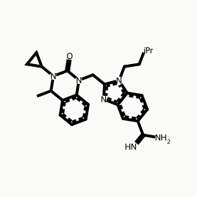 CC(C)CCn1c(CN2C(=O)N(C3CC3)C(C)c3ccccc32)nc2cc(C(=N)N)ccc21